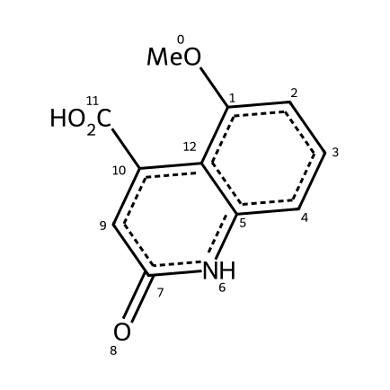 COc1cccc2[nH]c(=O)cc(C(=O)O)c12